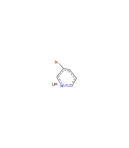 Brc1cc[c]nc1.[LiH]